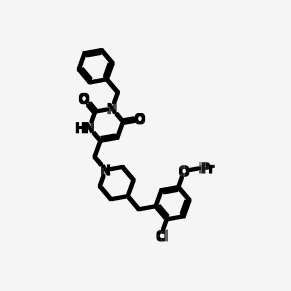 CC(C)Oc1ccc(Cl)c(CC2CCN(Cc3cc(=O)n(Cc4ccccc4)c(=O)[nH]3)CC2)c1